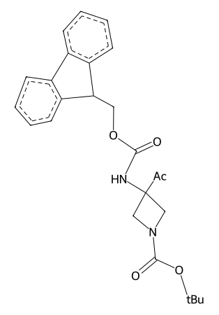 CC(=O)C1(NC(=O)OCC2c3ccccc3-c3ccccc32)CN(C(=O)OC(C)(C)C)C1